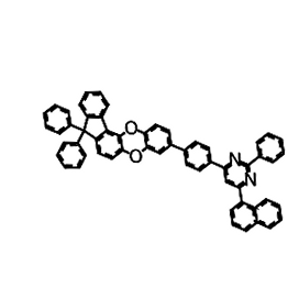 c1ccc(-c2nc(-c3ccc(-c4ccc5c(c4)Oc4ccc6c(c4O5)-c4ccccc4C6(c4ccccc4)c4ccccc4)cc3)cc(-c3cccc4ccccc34)n2)cc1